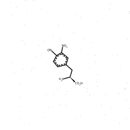 N[C@@H](Cc1ccc(N=O)c([N+](=O)[O-])c1)C(=O)O